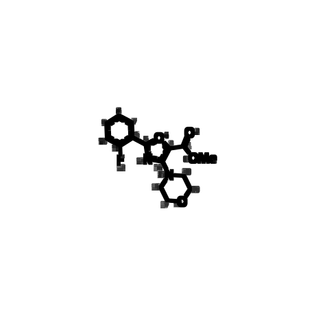 COC(=O)c1oc(-c2ccccc2F)nc1N1CCOCC1